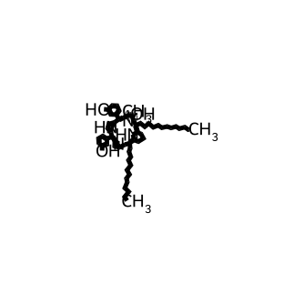 CCCCCCCCCCCCCc1c2nc(c(-c3cccc(O)c3)c3ccc([nH]3)c(-c3cccc(O)c3)c3nc(c(CCCCCCCCCCCCC)c4[nH]c1CCC4)[C@H](O)[C@@H]3C)C=C2